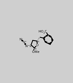 CO[C@@H]1O[C@@H](Cc2ccccc2C(=O)O)C[C@H]1N=[N+]=[N-]